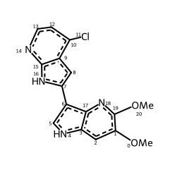 COc1cc2[nH]cc(-c3cc4c(Cl)ccnc4[nH]3)c2nc1OC